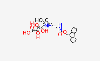 O=C(NCCCC[C@H](NC[C@H](O)[C@@H](O)[C@H](O)[C@H](O)CO)C(=O)O)OCC1c2ccccc2-c2ccccc21